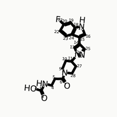 O=C(O)NCCC(=O)N1CCC(n2cc(-c3c[nH]c4cc(F)ccc34)cn2)CC1